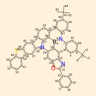 CC(C)(C)c1ccc(N2B3c4cc5nc(-c6ccccc6)oc5cc4-n4c5cc6c(cc5c5ccc(c3c54)-c3cc(C(C)(C)C)ccc32)sc2ccccc26)cc1